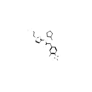 Cc1cc([C@@H](CC2CCCC2)C(=O)Nc2ccn(CCO)n2)ccc1S(C)(=O)=O